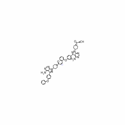 C#CC(=O)N1CCC(n2nc(-c3ccc(Oc4ccccc4/C=C\C(=O)N4CCC(n5nc(-c6ccc(Oc7ccccc7)cc6)c6c(N)ncnc65)CC4)cc3)c3c(N)ncnc32)CC1